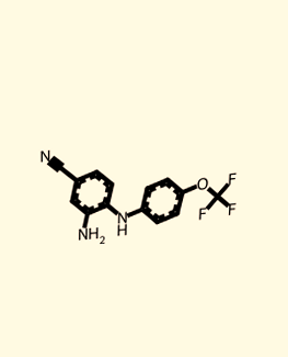 N#Cc1ccc(Nc2ccc(OC(F)(F)F)cc2)c(N)c1